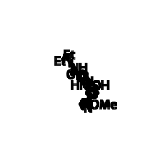 CCN(CC)CCNC(=O)c1ccc2nc(-c3cc(-c4cccnc4OC)ccc3O)[nH]c2c1